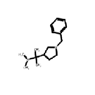 CN(C)C(C)(C)C1CCN(Cc2ccccc2)C1